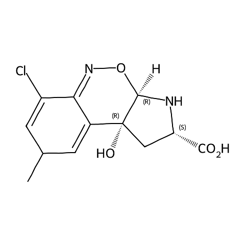 CC1C=C(Cl)C2=NO[C@H]3N[C@H](C(=O)O)C[C@@]3(O)C2=C1